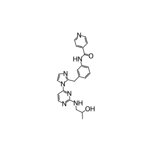 CC(O)CNc1nccc(-n2ccnc2Cc2cccc(NC(=O)c3ccncc3)c2)n1